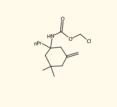 C=C1CC(C)(C)CC(CCC)(NC(=O)OCCl)C1